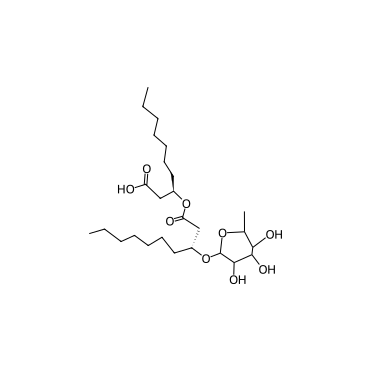 CCCCCCC[C@H](CC(=O)O)OC(=O)C[C@@H](CCCCCCC)OC1OC(C)C(O)C(O)C1O